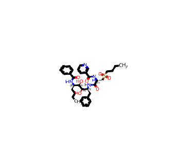 CCCC[C@@H](NC(=O)c1ccccc1)[C@@H](O)[C@H](O)[C@H](Cc1ccccc1)NC(=O)[C@@H](CS(=O)(=O)CCCC)NC(=O)c1cccnc1